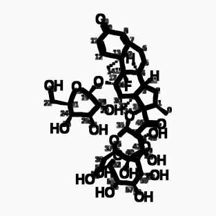 C[C@@H]1C[C@H]2[C@@H]3CCC4=CC(=O)C=C[C@]4(C)[C@@]3(F)[C@@H](O[C@@H]3O[C@H](CO)[C@H](O)[C@H](O)[C@H]3O)C[C@]2(C)[C@@]1(O[C@@H]1O[C@H](CO)[C@H](O)[C@H](O)[C@H]1O)C(=O)CO[C@@H]1O[C@H](CO)[C@H](O)[C@H](O)[C@H]1O